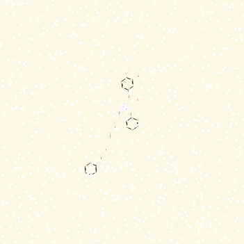 COCc1cc(C(O)CN(CCCCCCOCCCc2ccccc2)Cc2ccccc2)ccc1O